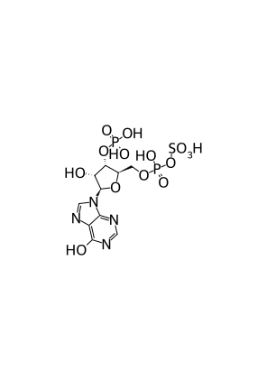 O=P(O)(O)O[C@H]1[C@@H](O)[C@H](n2cnc3c(O)ncnc32)O[C@@H]1COP(=O)(O)OS(=O)(=O)O